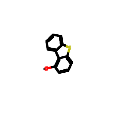 [O]c1cccc2sc3ccccc3c12